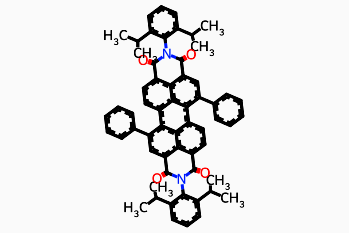 CC(C)c1cccc(C(C)C)c1N1C(=O)c2ccc3c4c(-c5ccccc5)cc5c6c(ccc(c7c(-c8ccccc8)cc(c2c37)C1=O)c64)C(=O)N(c1c(C(C)C)cccc1C(C)C)C5=O